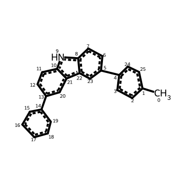 Cc1ccc(-c2ccc3[nH]c4ccc(-c5ccccc5)cc4c3c2)cc1